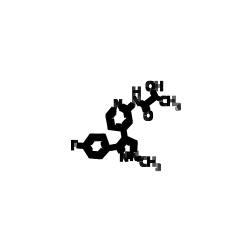 C[C@H](O)C(=O)Nc1cc(-c2cn(C)nc2-c2ccc(F)cc2)ccn1